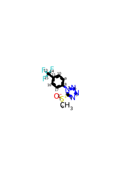 C[S+]([O-])c1nnnn1-c1ccc(C(F)(F)F)cc1